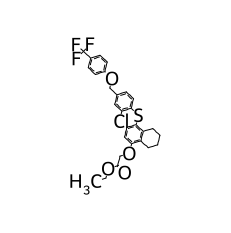 CCOC(=O)COc1ccc(Sc2ccc(COc3ccc(C(F)(F)F)cc3)cc2Cl)c2c1CCCC2